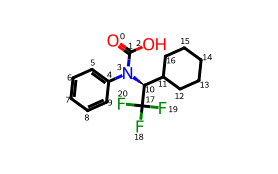 O=C(O)N(c1ccccc1)[C@@H](C1CCCCC1)C(F)(F)F